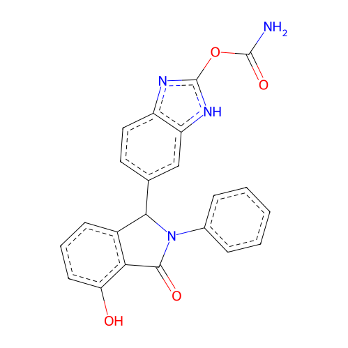 NC(=O)Oc1nc2ccc(C3c4cccc(O)c4C(=O)N3c3ccccc3)cc2[nH]1